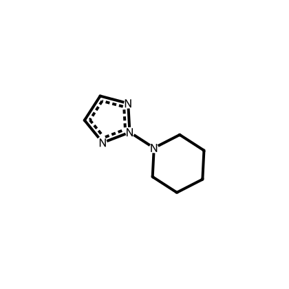 c1cnn(N2CCCCC2)n1